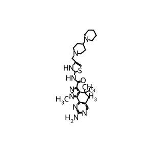 Cn1nc(C(=O)NC2NC(CN3CCC(N4CCCCC4)CC3)=CS2)c2c1-c1nc(N)ncc1CC2(C)C